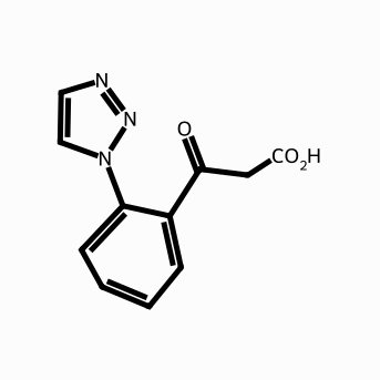 O=C(O)CC(=O)c1ccccc1-n1ccnn1